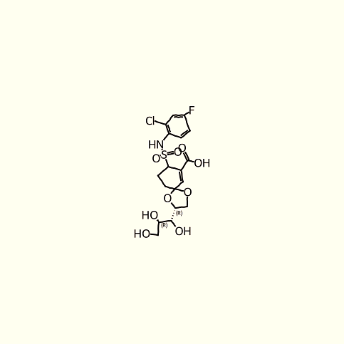 O=C(O)C1=CC2(CCC1S(=O)(=O)Nc1ccc(F)cc1Cl)OC[C@H](C(O)[C@H](O)CO)O2